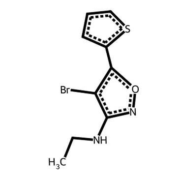 CCNc1noc(-c2cccs2)c1Br